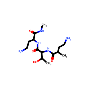 CNC(=O)C(CCN)NC(=O)C(NC(=O)C(C)CCN)C(C)O